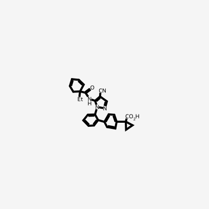 CCC1(C(=O)Nc2c(C#N)cnn2-c2ccccc2-c2ccc(C3(C(=O)O)CC3)cc2)C=CC=CC1